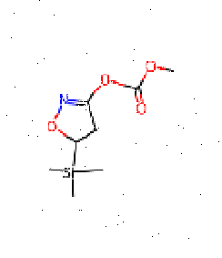 COC(=O)OC1=NOC([Si](C)(C)C)C1